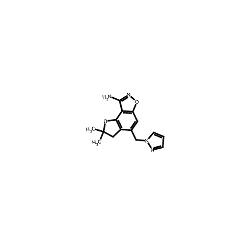 CC1(C)Cc2c(Cn3cccn3)cc3onc(N)c3c2O1